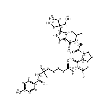 CC(C)[C@H](NC(=O)[C@@H]1CCCN1C(=O)[C@@H](NC(=O)CCCCC(C)(C)NC(=O)c1ccc(O)cn1)C(C)C)C(=O)c1nnc(C(CO)(CO)CO)o1